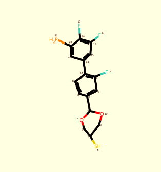 Fc1cc(C2OCC(S)CO2)ccc1-c1cc(F)c(F)c(P)c1